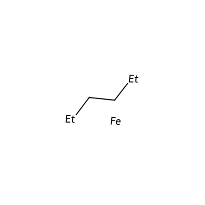 CCCCCC.[Fe]